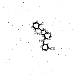 N#Cc1ccnc(Nc2ncnc3nc(-c4c(Cl)cccc4Cl)[nH]c23)c1